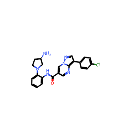 N[C@@H]1CCN(c2ccccc2NC(=O)c2cnc3c(-c4ccc(Cl)cc4)cnn3c2)C1